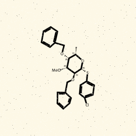 CO[C@@H]1[C@H](OCc2ccccc2)[C@H](C)O[C@H](Sc2ccc(Cl)cc2)[C@H]1OCc1ccccc1